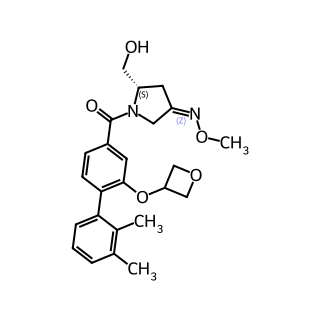 CO/N=C1/C[C@@H](CO)N(C(=O)c2ccc(-c3cccc(C)c3C)c(OC3COC3)c2)C1